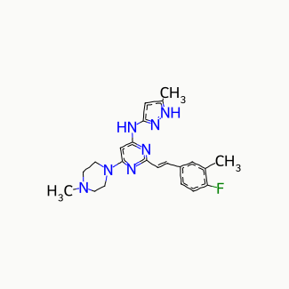 Cc1cc(Nc2cc(N3CCN(C)CC3)nc(/C=C/c3ccc(F)c(C)c3)n2)n[nH]1